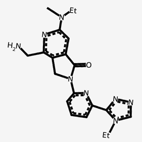 CCN(C)c1cc2c(c(CN)n1)CN(c1cccc(-c3nncn3CC)n1)C2=O